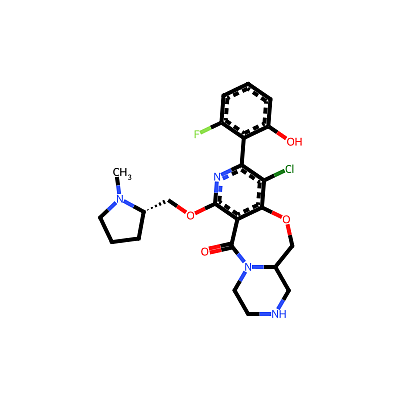 CN1CCC[C@H]1COc1nc(-c2c(O)cccc2F)c(Cl)c2c1C(=O)N1CCNCC1CO2